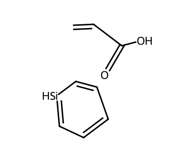 C=CC(=O)O.c1cc[siH]cc1